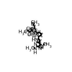 CNc1nc2[nH]c(-c3cccc([C@H](CCCOC)NC(=O)[C@@H](O)C(C)C)n3)cc2c2c1ncn2C